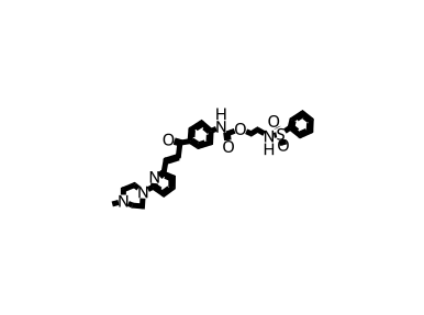 CN1CCN(c2cccc(/C=C/C(=O)c3ccc(NC(=O)OCCNS(=O)(=O)c4ccccc4)cc3)n2)CC1